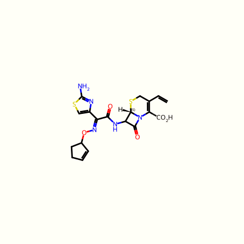 C=CC1=C(C(=O)O)N2C(=O)C(NC(=O)C(=NOC3C=CCC3)c3csc(N)n3)[C@@H]2SC1